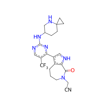 N#CCN1CCCc2c(-c3nc(NC4CCC5(CC5)NC4)ncc3C(F)(F)F)c[nH]c2C1=O